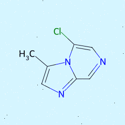 Cc1cnc2cncc(Cl)n12